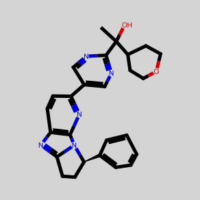 CC(O)(c1ncc(-c2ccc3nc4n(c3n2)[C@@H](c2ccccc2)CC4)cn1)C1CCOCC1